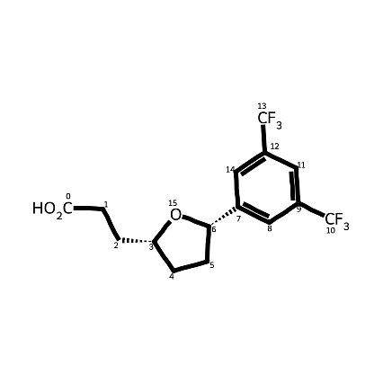 O=C(O)CC[C@H]1CC[C@@H](c2cc(C(F)(F)F)cc(C(F)(F)F)c2)O1